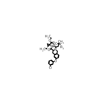 C=C[C@@H]1C[C@]1(NC(=O)C1Cc2cc(Oc3cccc(Cl)c3)ccc2CN1C(=O)CC(C)(C)C)C(=O)OCC